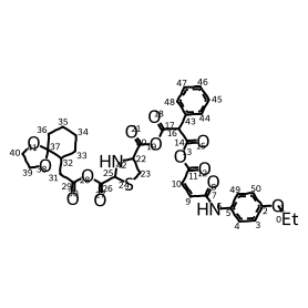 CCOc1ccc(NC(=O)/C=C\C(=O)OC(=O)C(C(=O)OC(=O)C2CSC(C(=O)OC(=O)CC3CCCCC34OCCO4)N2)c2ccccc2)cc1